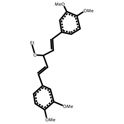 CCOC(C=Cc1ccc(OC)c(OC)c1)C=Cc1ccc(OC)c(OC)c1